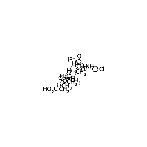 CC(C)C1=C2[C@H]3CC[C@@H]4[C@@]5(C)CC[C@H](OC(=O)[C@@H]6C[C@H](C(=O)O)C6(C)C)C(C)(C)[C@@H]5CC[C@@]4(C)[C@]3(C)CC[C@@]2(CC(=O)NCc2ccc(Cl)cc2)CC1=O